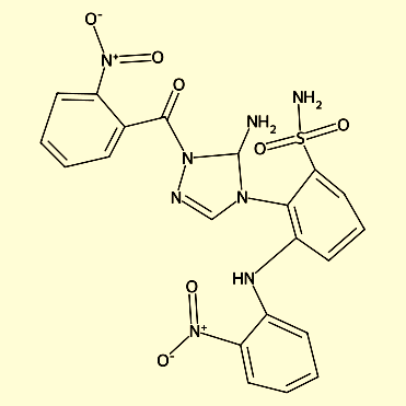 NC1N(C(=O)c2ccccc2[N+](=O)[O-])N=CN1c1c(Nc2ccccc2[N+](=O)[O-])cccc1S(N)(=O)=O